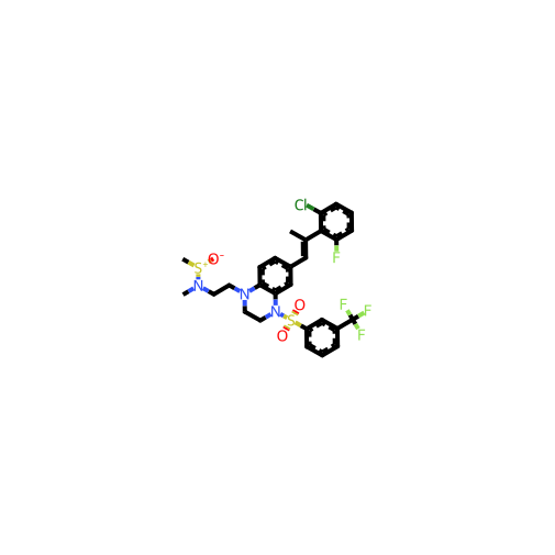 C/C(=C\c1ccc2c(c1)N(S(=O)(=O)c1cccc(C(F)(F)F)c1)CCN2CCN(C)[S+](C)[O-])c1c(F)cccc1Cl